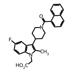 Cc1c(C2CCN(C(=O)c3cccc4ccccc34)CC2)c2cc(F)ccc2n1CC(=O)O